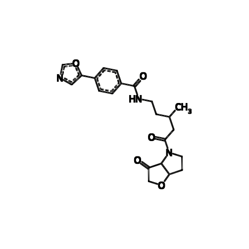 CC(CCNC(=O)c1ccc(-c2cnco2)cc1)CC(=O)N1CCC2OCC(=O)C21